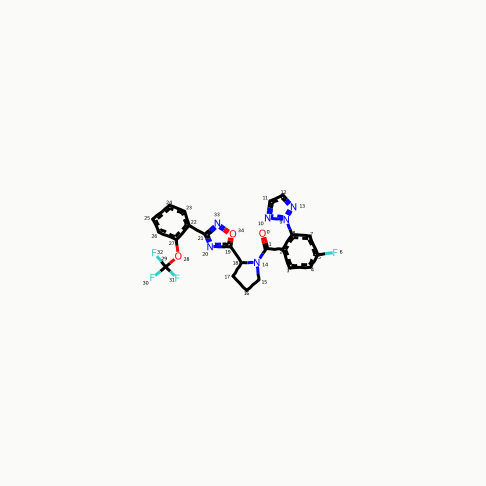 O=C(c1ccc(F)cc1-n1nccn1)N1CCCC1c1nc(-c2ccccc2OC(F)(F)F)no1